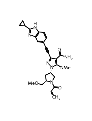 C=CC(=O)N1C[C@@H](n2nc(C#Cc3ccc4[nH]c(C5CC5)nc4c3)c(C(N)=O)c2NC)C[C@@H]1COC